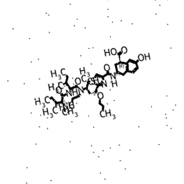 CCCO[C@H](CC(C(C)C)N(CCC)C(=O)[C@@H](NC(=O)[C@H](NC)[C@@H](C)CC)[C@@H](C)CC)c1nc(C(=O)N[C@H]2Cc3ccc(O)cc3[C@H](C(=O)O)C2)cs1